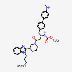 COCCCn1c([C@@H]2CCCN(C(=O)C[C@@H](Cc3ccc(-c4ccc(N(C)C)cc4)cc3)NC(=O)OC(C)(C)C)C2)nc2ccccc21